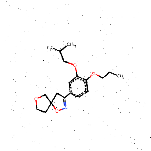 CCCOc1ccc(C2=NOC3(CCOC3)C2)cc1OCC(C)C